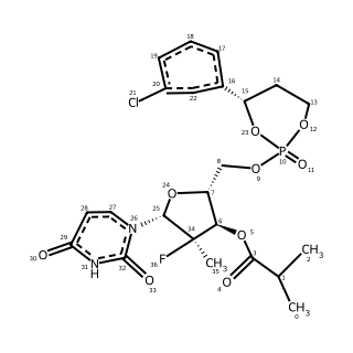 CC(C)C(=O)O[C@@H]1[C@@H](COP2(=O)OCC[C@@H](c3cccc(Cl)c3)O2)O[C@@H](n2ccc(=O)[nH]c2=O)[C@]1(C)F